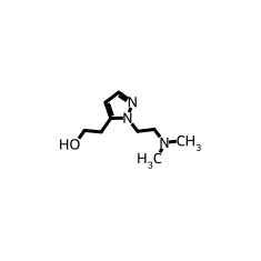 CN(C)CCn1nccc1CCO